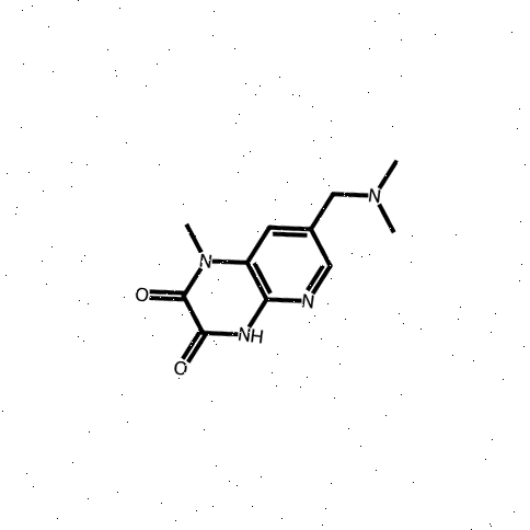 CN(C)Cc1cnc2[nH]c(=O)c(=O)n(C)c2c1